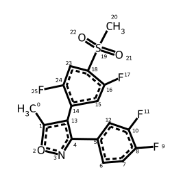 Cc1onc(-c2ccc(F)c(F)c2)c1-c1cc(F)c(S(C)(=O)=O)cc1F